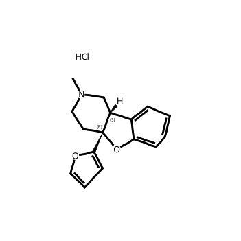 CN1CC[C@@]2(c3ccco3)Oc3ccccc3[C@H]2C1.Cl